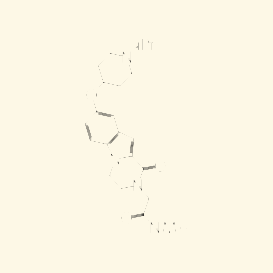 CNC(=O)CN1CCn2c(cc3cc(OC4CCN(C(C)C)CC4)ccc32)C1=O